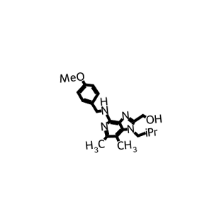 COc1ccc(CNc2nc(C)c(C)c3c2nc(CO)n3CC(C)C)cc1